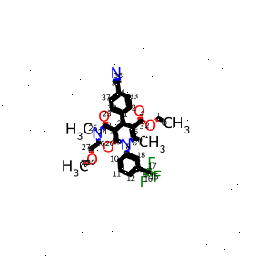 CCOC(=O)C1=C(C)N(c2cccc(C(F)(F)F)c2)C(=O)C(C(=O)N(C)CCOC)C1c1ccc(C#N)cc1